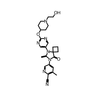 C=C1N(c2cnc(C#N)c(C)c2)C(=O)C2(CCC2)N1c1cnc(OC2CCN(CCO)CC2)nc1